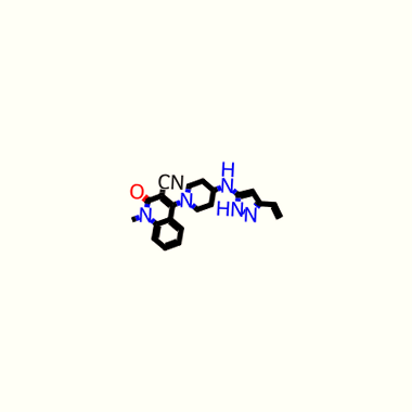 C=Cc1cc(NC2CCN(c3c(C#N)c(=O)n(C)c4ccccc34)CC2)[nH]n1